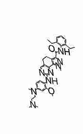 CCc1cccc(CC)c1NC(=O)c1nn(C)c2c1CCc1cnc(Nc3ccc(N(C)CCN(C)C)cc3OC)nc1-2